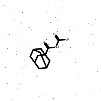 CC(C)(C)C(=O)NC(=O)C12CC3CC(CC(C3)C1)C2